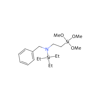 CC[Si](CC)(CC)N(CC[Si](OC)(OC)OC)Cc1ccccc1